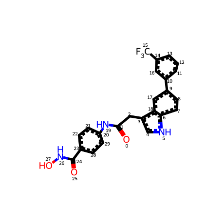 O=C(Cc1c[nH]c2ccc(-c3cccc(C(F)(F)F)c3)cc12)Nc1ccc(C(=O)NO)cc1